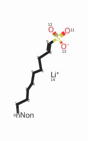 CCCCCCCCCCCCCCCCC=CS(=O)(=O)[O-].[Li+]